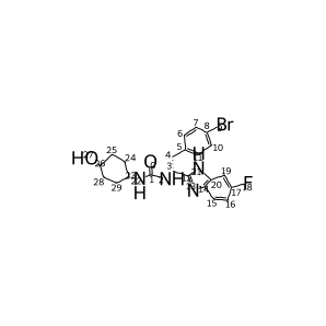 O=C(N[C@H](Cc1ccc(Br)cc1)c1nc2ccc(F)cc2[nH]1)N[C@H]1CC[C@H](O)CC1